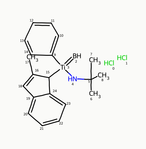 Cl.Cl.[BH]=[Ti]([NH]C(C)(C)C)([c]1ccccc1)[CH]1C(C)=Cc2ccccc21